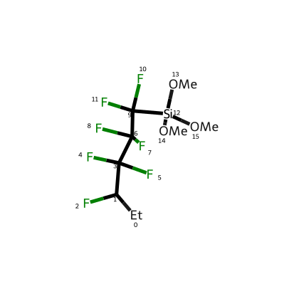 CCC(F)C(F)(F)C(F)(F)C(F)(F)[Si](OC)(OC)OC